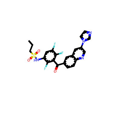 CCCS(=O)(=O)Nc1cc(F)c(F)c(C(=O)c2ccc3ncc(-n4ccnc4)cc3c2)c1F